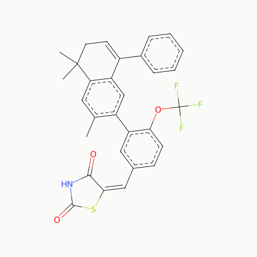 Cc1cc2c(cc1-c1cc(C=C3SC(=O)NC3=O)ccc1OC(F)(F)F)C(c1ccccc1)=CCC2(C)C